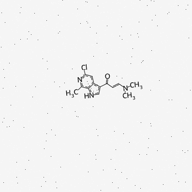 Cc1nc(Cl)cc2c(C(=O)/C=C/N(C)C)c[nH]c12